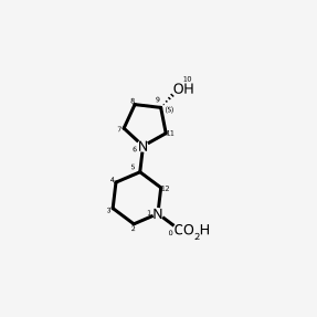 O=C(O)N1CCCC(N2CC[C@H](O)C2)C1